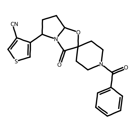 N#Cc1cscc1C1CCC2OC3(CCN(C(=O)c4ccccc4)CC3)C(=O)N21